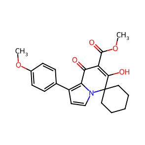 COC(=O)C1=C(O)C2(CCCCC2)n2ccc(-c3ccc(OC)cc3)c2C1=O